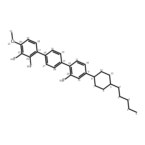 CCCCCC1CCC(c2ccc(-c3ccc(-c4ccc(OC)c(F)c4F)cc3)c(F)c2)CC1